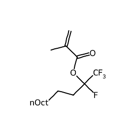 C=C(C)C(=O)OC(F)(CCCCCCCCCC)C(F)(F)F